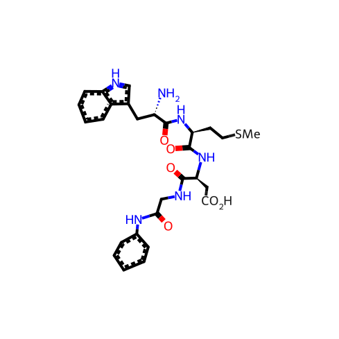 CSCC[C@H](NC(=O)[C@@H](N)Cc1c[nH]c2ccccc12)C(=O)N[C@@H](CC(=O)O)C(=O)NCC(=O)Nc1ccccc1